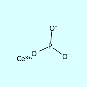 [Ce+3].[O-]P([O-])[O-]